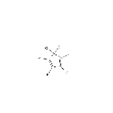 ClC1=C(Cl)C(Cl)(Cl)C(Br)=C1Br